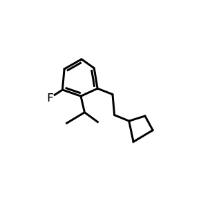 CC(C)c1c(F)cccc1CCC1CCC1